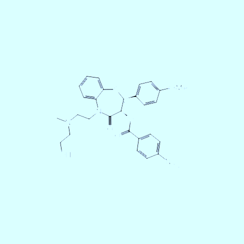 COc1ccc([C@@H]2Sc3ccccc3N(CCN(C)CCO)C(=O)[C@@H]2OC(=O)c2ccc([N+](=O)[O-])cc2)cc1